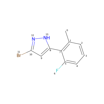 Cc1cccc(F)c1-c1cc(Br)n[nH]1